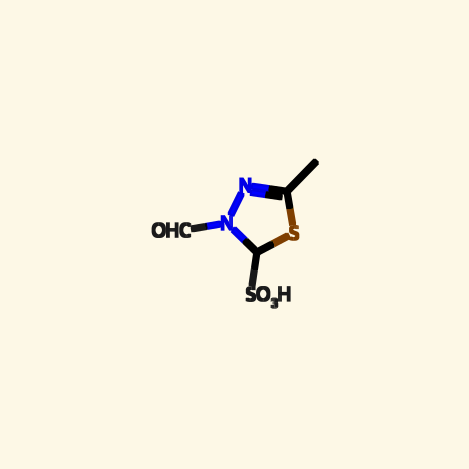 CC1=NN(C=O)C(S(=O)(=O)O)S1